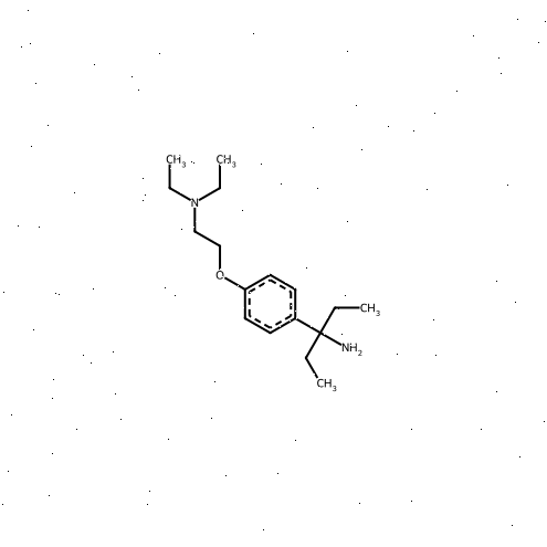 CCN(CC)CCOc1ccc(C(N)(CC)CC)cc1